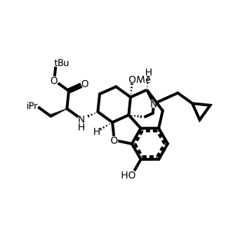 CO[C@@]12CC[C@@H](N[C@@H](CC(C)C)C(=O)OC(C)(C)C)[C@@H]3Oc4c(O)ccc5c4[C@@]31CCN(CC1CC1)[C@@H]2C5